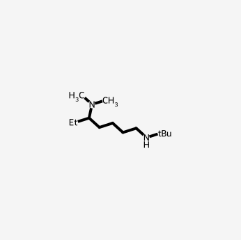 CCC(CCCCNC(C)(C)C)N(C)C